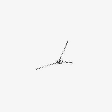 CCCCCCCCCCCCCCCCN1C=CN(CCCCCCCC)C1CCCCCCCCCCCCCCC